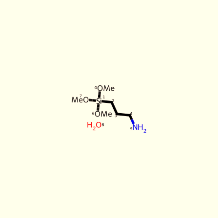 CO[Si](CCCN)(OC)OC.O